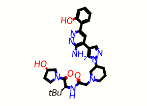 CC(C)(C)[C@H](NC(=O)CN1CCCC(n2cc(-c3cc(-c4ccccc4O)nnc3N)cn2)C1)C(=O)N1CC[C@@H](O)C1